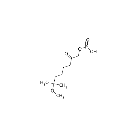 COC(C)(C)CCCCC(=O)CO[PH](=O)O